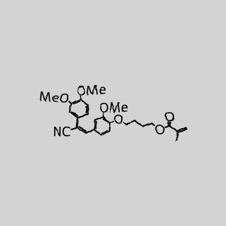 C=C(C)C(=O)OCCCCOc1ccc(C=C(C#N)c2ccc(OC)c(OC)c2)cc1OC